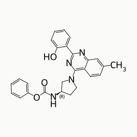 Cc1ccc2c(N3CC[C@@H](NC(=O)Oc4ccccc4)C3)nc(-c3ccccc3O)nc2c1